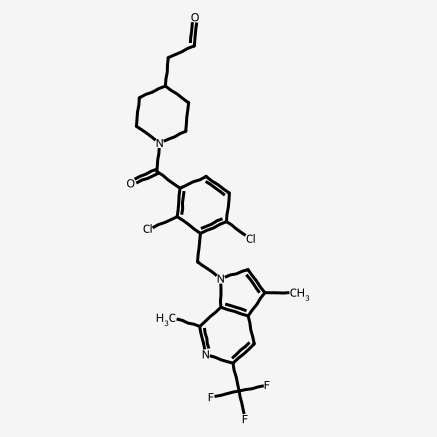 Cc1cn(Cc2c(Cl)ccc(C(=O)N3CCC(CC=O)CC3)c2Cl)c2c(C)nc(C(F)(F)F)cc12